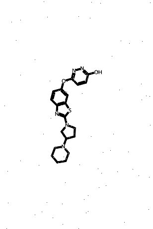 Oc1ccc(Oc2ccc3nc(N4CCC(N5CCCCC5)C4)sc3c2)nn1